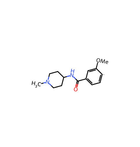 COc1[c]ccc(C(=O)NC2CCN(C)CC2)c1